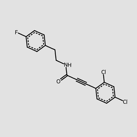 O=C(C#Cc1ccc(Cl)cc1Cl)NCCc1ccc(F)cc1